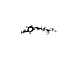 CC(=O)O/N=C/C=C/c1ccc(C#N)cc1